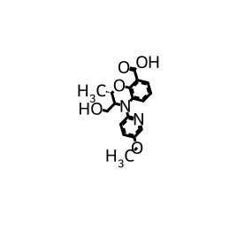 COc1ccc(N2c3cccc(C(=O)O)c3O[C@@H](C)C2CO)nc1